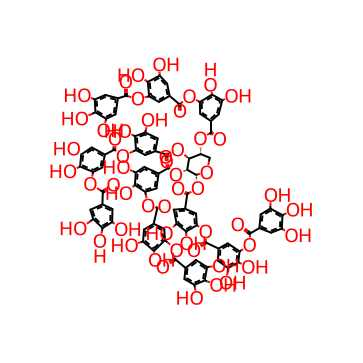 O=C(Oc1cc(C(=O)Oc2cc(C(=O)O[C@H]3OC[C@@H](OC(=O)c4cc(O)c(O)c(OC(=O)c5cc(O)c(O)c(OC(=O)c6cc(O)c(O)c(O)c6)c5)c4)[C@H](OC(=O)c4cc(O)c(O)c(OC(=O)c5cc(O)c(O)c(OC(=O)c6cc(O)c(O)c(O)c6)c5)c4)[C@H]3OC(=O)c3cc(O)c(O)c(OC(=O)c4cc(O)c(O)c(OC(=O)c5cc(O)c(O)c(O)c5)c4)c3)cc(O)c2O)cc(O)c1O)c1cc(O)c(O)c(O)c1